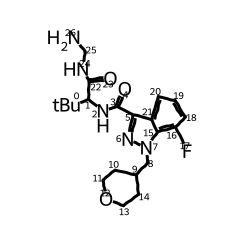 CC(C)(C)C(NC(=O)c1nn(CC2CCOCC2)c2c(F)cccc12)C(=O)NCN